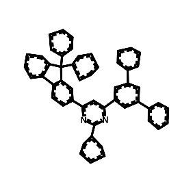 c1ccc(-c2cc(-c3ccccc3)cc(-c3cc(-c4ccc5c(c4)C(c4ccccc4)(c4ccccc4)c4ccccc4-5)nc(-c4ccccc4)n3)c2)cc1